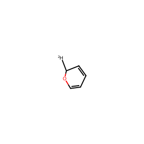 [2H]C1C=CC=CO1